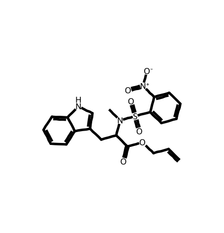 C=CCOC(=O)C(Cc1c[nH]c2ccccc12)N(C)S(=O)(=O)c1ccccc1[N+](=O)[O-]